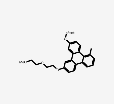 CCCCCOc1ccc2c(c1)c1cc(OCCOCCOC)ccc1c1cccc(C)c12